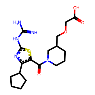 N=C(N)Nc1nc(C2CCCC2)c(C(=O)N2CCCC(COCC(=O)O)C2)s1